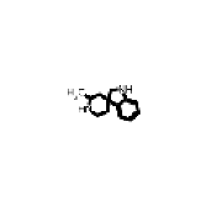 CC1CC2(CCN1)CNc1ccccc12